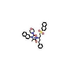 CC(C(=O)NC(CCc1ccccc1)CCS(=O)(=O)c1ccc2ccccc2c1)N(C(=O)N1CCOCC1)c1ccc2ccccc2c1